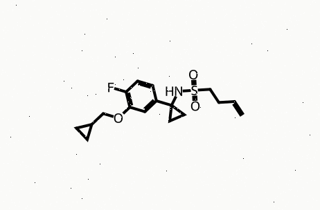 C=CCCS(=O)(=O)NC1(c2ccc(F)c(OCC3CC3)c2)CC1